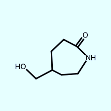 O=C1CCC(CO)CCN1